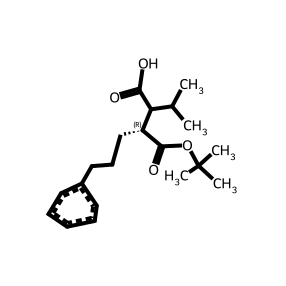 CC(C)C(C(=O)O)[C@@H](CCCc1ccccc1)C(=O)OC(C)(C)C